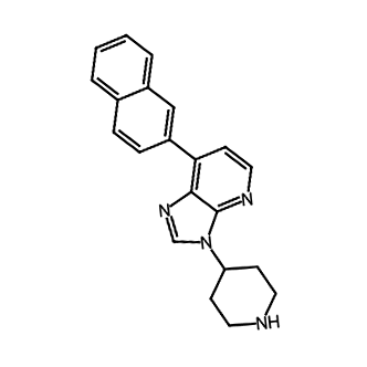 c1ccc2cc(-c3ccnc4c3ncn4C3CCNCC3)ccc2c1